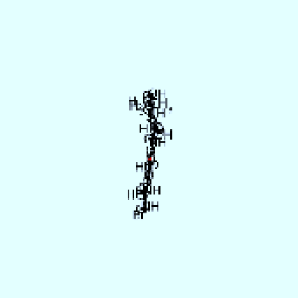 CC(CC(=O)O)C(C)(C)CC(=O)NCC1CCC(C(=O)NC(CCC(=O)NCCOCCOCC(=O)NCCOCCOCC(=O)NC(CCCCNC(=O)CBr)C(=O)O)C(=O)O)CC1